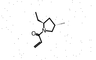 C=CC(=O)N1C[C@@H](C)C[C@@H]1CC